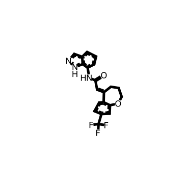 O=C(C=C1CCCOc2cc(C(F)(F)F)ccc21)Nc1cccc2cn[nH]c12